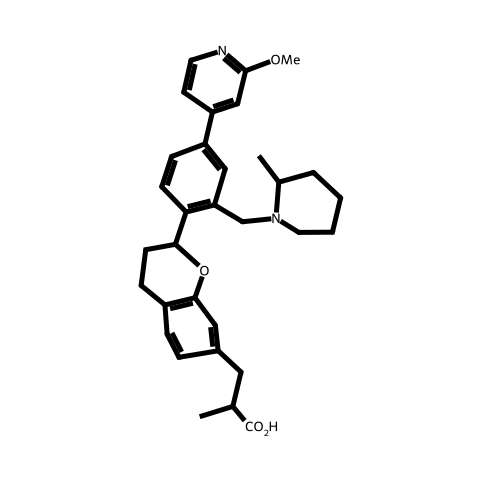 COc1cc(-c2ccc(C3CCc4ccc(CC(C)C(=O)O)cc4O3)c(CN3CCCCC3C)c2)ccn1